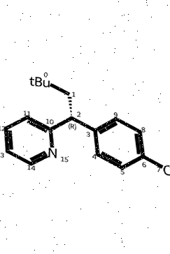 CC(C)(C)C[C@H](c1ccc(Cl)cc1)c1ccccn1